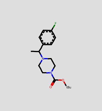 CC(c1ccc(F)cc1)N1CCN(C(=O)OC(C)(C)C)CC1